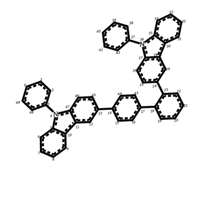 c1ccc(-n2c3ccccc3c3cc(-c4ccc(-c5ccccc5-c5ccc6c(c5)c5ccccc5n6-c5ccccc5)cc4)ccc32)cc1